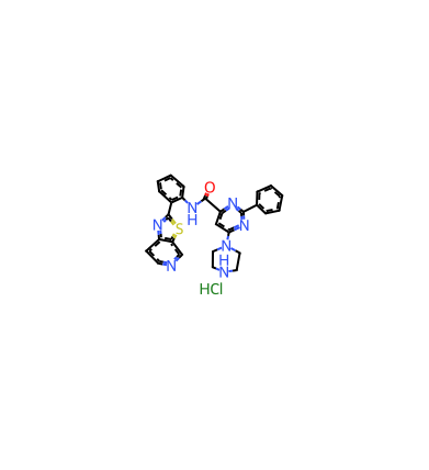 Cl.O=C(Nc1ccccc1-c1nc2ccncc2s1)c1cc(N2CCNCC2)nc(-c2ccccc2)n1